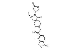 CC[C@@H]1CC2(CCN(C[C@H](O)c3ccc4c(c3C)COC4=O)CC2)C(=O)N1C1=CC(=O)OC1